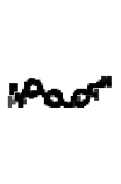 N#CCC1(I)CCN(Cc2ccc(-c3cccc(C(F)(F)F)c3)cc2)CC1